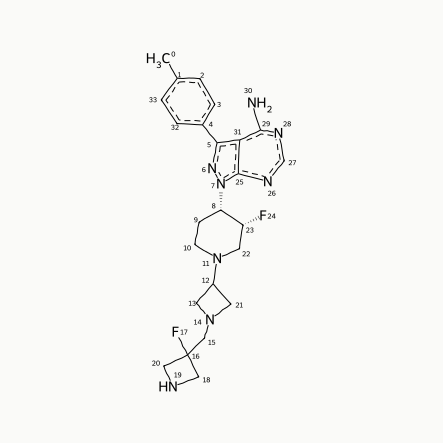 Cc1ccc(-c2nn([C@H]3CCN(C4CN(CC5(F)CNC5)C4)C[C@H]3F)c3ncnc(N)c23)cc1